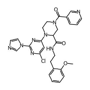 COc1ccccc1CCNC(=O)C1CN(C(=O)c2cccnc2)CCN1c1cc(Cl)nc(-n2ccnc2)n1